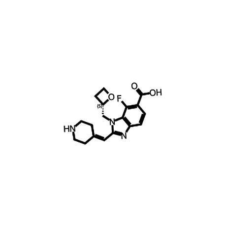 O=C(O)c1ccc2nc(C=C3CCNCC3)n(C[C@@H]3CCO3)c2c1F